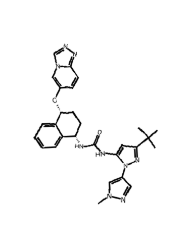 Cn1cc(-n2nc(C(C)(C)C)cc2NC(=O)N[C@H]2CC[C@@H](Oc3ccc4nncn4c3)c3ccccc32)cn1